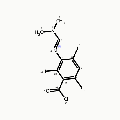 CN(C)/C=N/c1c(I)cc(I)c(C(=O)Cl)c1I